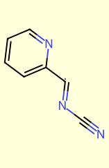 N#CN=[C]c1ccccn1